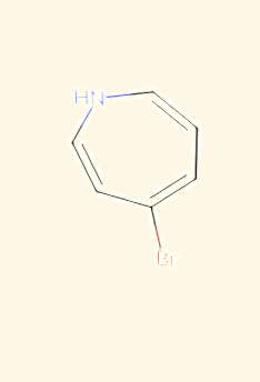 BrC1=CC=CNC=C1